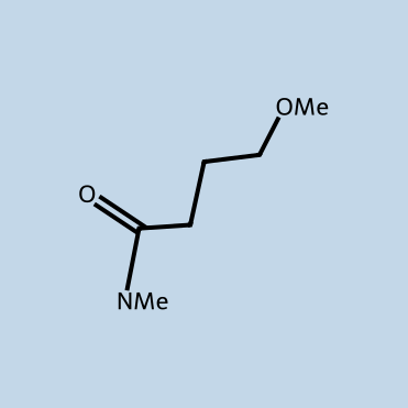 CNC(=O)CCCOC